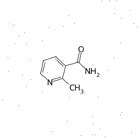 Cc1ncccc1C(N)=O